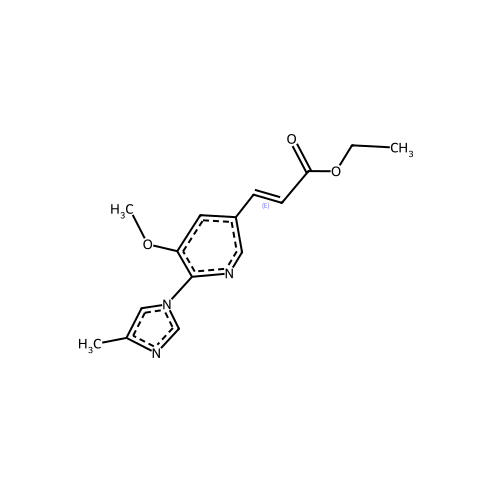 CCOC(=O)/C=C/c1cnc(-n2cnc(C)c2)c(OC)c1